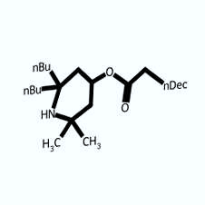 CCCCCCCCCCCC(=O)OC1CC(C)(C)NC(CCCC)(CCCC)C1